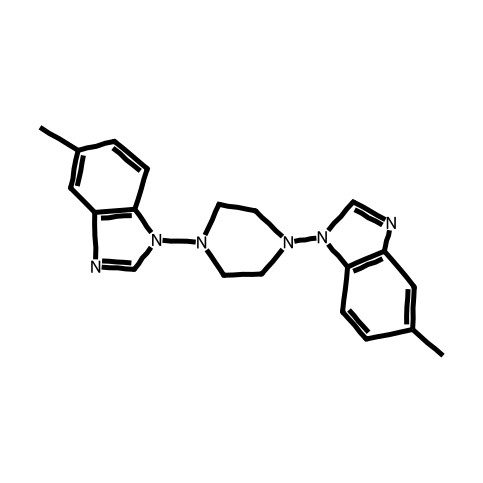 Cc1ccc2c(c1)ncn2N1CCN(n2cnc3cc(C)ccc32)CC1